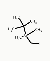 CC(C)(C)[Si](C)(C)CI